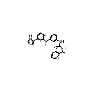 CC(NC(=O)Nc1cccc(Nc2nccc(-c3ccc[nH]3)n2)c1)c1ccccn1